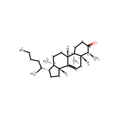 CC(C)CCCC(C)[C@H]1CC[C@H]2C3=CC[C@H]4[C@H](C)C(=O)CC[C@]4(C)[C@H]3CC[C@]12C